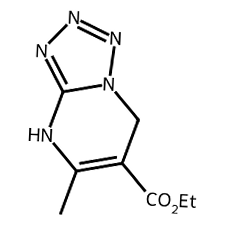 CCOC(=O)C1=C(C)Nc2nnnn2C1